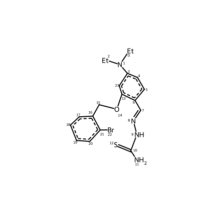 CCN(CC)c1ccc(/C=N/NC(N)=S)c(OCc2ccccc2Br)c1